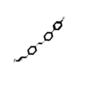 F/C=C/C[C@H]1CC[C@H](CC[C@H]2CC[C@H](c3ccc(F)cc3)CC2)CC1